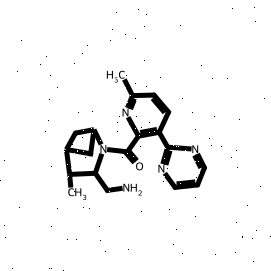 Cc1ccc(-c2ncccn2)c(C(=O)N2C3CC(C3)C(C)C2CN)n1